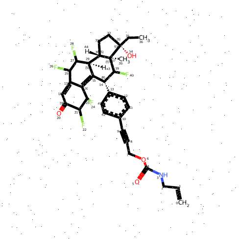 C=CCNC(=O)OCC#Cc1ccc([C@@H]2C3=C4C(=CC(=O)C(F)C4F)C(F)C(F)[C@H]3[C@@H]3CC[C@@](O)(CC)[C@@]3(C)C2F)cc1